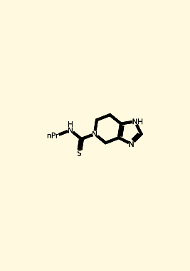 CCCNC(=S)N1CCc2[nH]cnc2C1